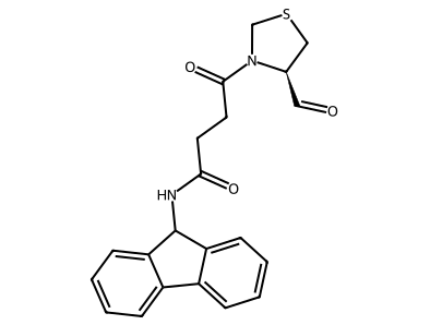 O=C[C@@H]1CSCN1C(=O)CCC(=O)NC1c2ccccc2-c2ccccc21